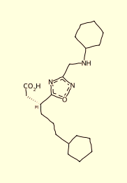 O=C(O)C[C@@H](CCCC1CCCCC1)c1nc(CNC2CCCCC2)no1